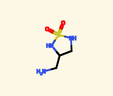 NCC1CNS(=O)(=O)N1